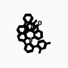 Cc1ccc(-c2cccc3c4cccc(-c5ccc(C)cc5C)c4n(-c4cccc5c4C(=O)N(c4ccccc4-c4ccccc4)C5=O)c23)c(C)c1